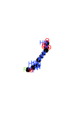 N=C(c1ccc(Oc2ccc(F)cc2)cc1)c1c(N)ncnc1NC1CCN(C2CN(C3CN(c4ccc5c(c4)C(=O)N(C4CCC(=O)NC4=O)C5=O)C3)C2)CC1